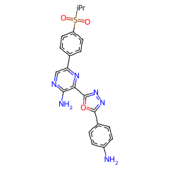 CC(C)S(=O)(=O)c1ccc(-c2cnc(N)c(-c3nnc(-c4ccc(N)cc4)o3)n2)cc1